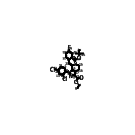 CCOC(=O)c1nn(-c2ccc(Cl)cc2Cl)c2c1CCN(C(=O)OC(C)(C)C)C2=Cc1ccc(F)cc1